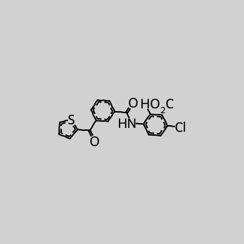 O=C(Nc1ccc(Cl)cc1C(=O)O)c1cccc(C(=O)c2cccs2)c1